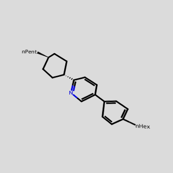 CCCCCCc1ccc(-c2ccc([C@H]3CC[C@H](CCCCC)CC3)nc2)cc1